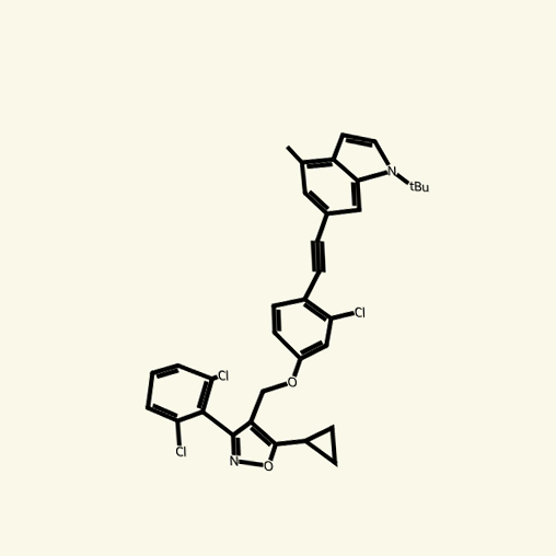 Cc1cc(C#Cc2ccc(OCc3c(-c4c(Cl)cccc4Cl)noc3C3CC3)cc2Cl)cc2c1ccn2C(C)(C)C